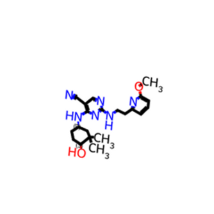 COc1cccc(CCNc2ncc(C#N)c(N[C@@H]3CC[C@H](O)C(C)(C)C3)n2)n1